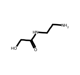 NCCNC(=O)CO